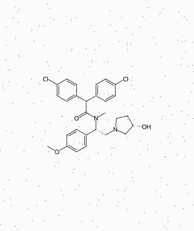 COc1ccc([C@@H](CN2CC[C@H](O)C2)N(C)C(=O)C(c2ccc(Cl)cc2)c2ccc(Cl)cc2)cc1